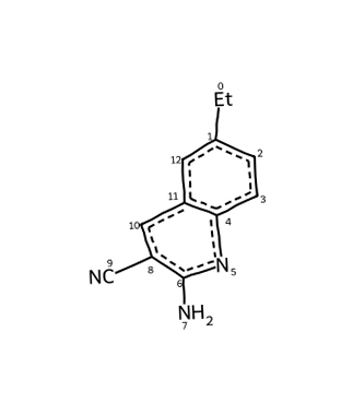 CCc1ccc2nc(N)c(C#N)cc2c1